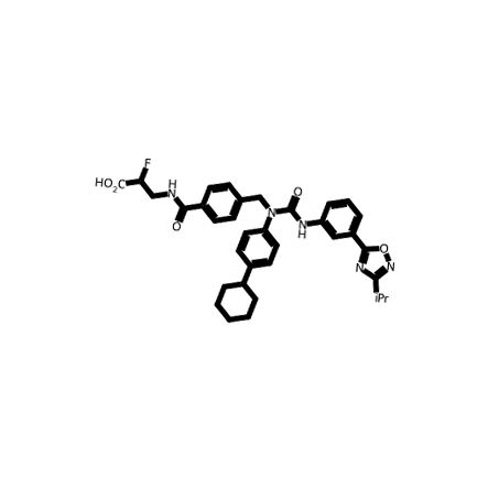 CC(C)c1noc(-c2cccc(NC(=O)N(Cc3ccc(C(=O)NCC(F)C(=O)O)cc3)c3ccc(C4CCCCC4)cc3)c2)n1